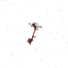 CC(=O)Nc1cc(NCCCCCCCCCCCNCCCOc2cc(C(N)=O)c(Nc3ccc(I)cc3F)c(F)c2F)ccc1C(=O)Nc1nc(C)c([N+](=O)[O-])s1